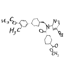 COc1ccc([C@H]2CC[C@H](CN(c3cc(Br)ccn3)C(=O)[C@H]3CC[C@H](C(=O)OC)CC3)CC2)cc1C